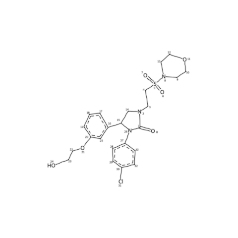 O=C1N(CCS(=O)(=O)N2CCOCC2)CC(c2cccc(OCCO)c2)N1c1ccc(Cl)cc1